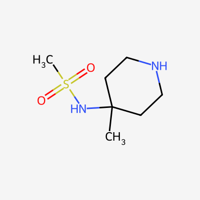 CC1(NS(C)(=O)=O)CCNCC1